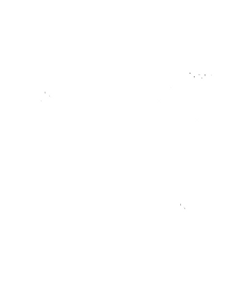 C/C=C(/C=C(\C=C(/C)CCCN)C(=C/C(=C\C)NC)/CC)N1CCOCC1